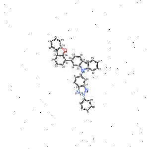 c1ccc(-n2nc3ccc(-n4c5ccccc5c5ccc(-c6cccc7c6oc6ccccc67)cc54)cc3n2)cc1